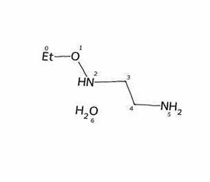 CCONCCN.O